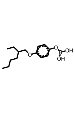 CCCCC(CC)COc1ccc(OB(O)O)cc1